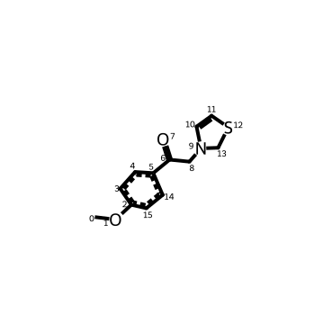 COc1ccc(C(=O)CN2C=CSC2)cc1